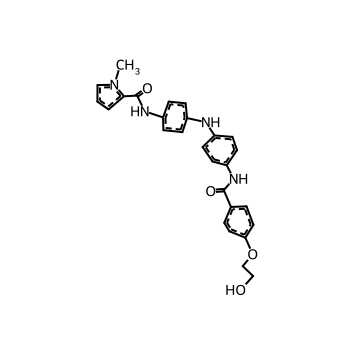 Cn1cccc1C(=O)Nc1ccc(Nc2ccc(NC(=O)c3ccc(OCCO)cc3)cc2)cc1